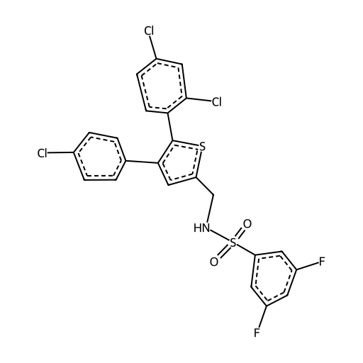 O=S(=O)(NCc1cc(-c2ccc(Cl)cc2)c(-c2ccc(Cl)cc2Cl)s1)c1cc(F)cc(F)c1